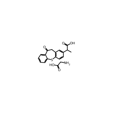 CC(C(=O)O)c1ccc2c(c1)CC(=O)c1ccccc1S2.NCC(=O)O